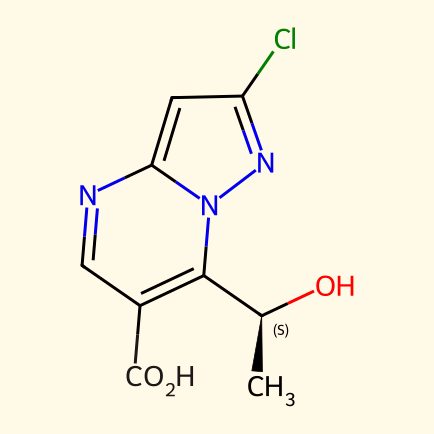 C[C@H](O)c1c(C(=O)O)cnc2cc(Cl)nn12